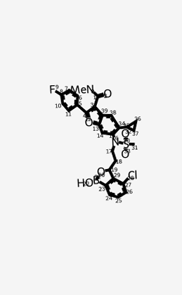 CNC(=O)c1c(-c2ccc(F)cc2)oc2cc(N(CCC3OB(O)c4cccc(Cl)c43)S(C)(=O)=O)c(C3CC3)cc12